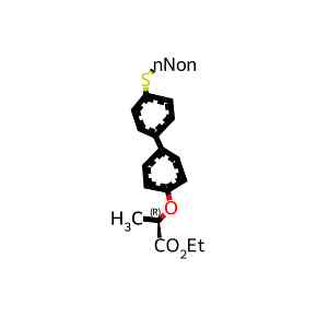 CCCCCCCCCSc1ccc(-c2ccc(O[C@H](C)C(=O)OCC)cc2)cc1